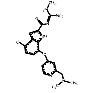 CNC(N)=NC(=O)c1cc2c(Cl)ccc(Oc3ccnc(CN(C)C)c3)c2[nH]1